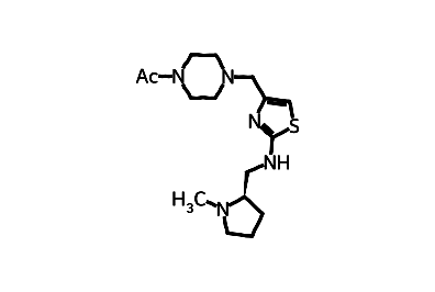 CC(=O)N1CCN(Cc2csc(NC[C@H]3CCCN3C)n2)CC1